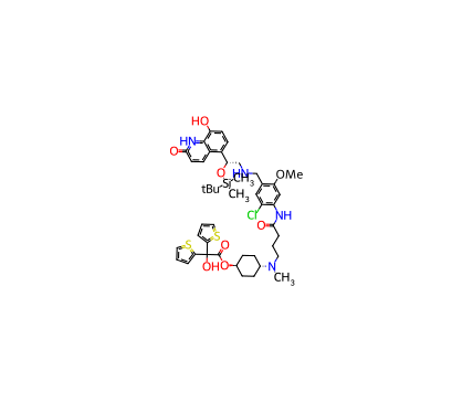 COc1cc(NC(=O)CCCN(C)[C@H]2CC[C@H](OC(=O)C(O)(c3cccs3)c3cccs3)CC2)c(Cl)cc1CNC[C@H](O[Si](C)(C)C(C)(C)C)c1ccc(O)c2[nH]c(=O)ccc12